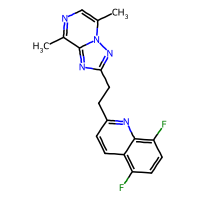 Cc1ncc(C)n2nc(CCc3ccc4c(F)ccc(F)c4n3)nc12